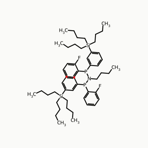 CCCCN(P(c1cccc([Si](CCCC)(CCCC)CCCC)c1)c1ccccc1F)P(c1cccc([Si](CCCC)(CCCC)CCCC)c1)c1ccccc1F